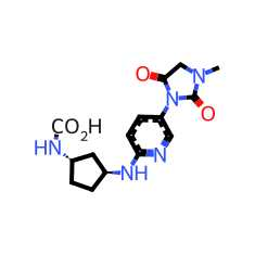 CN1CC(=O)N(c2ccc(N[C@H]3CC[C@H](NC(=O)O)C3)nc2)C1=O